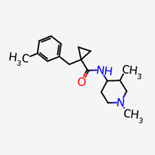 Cc1cccc(CC2(C(=O)NC3CCN(C)CC3C)CC2)c1